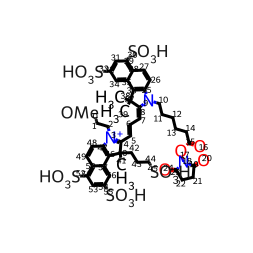 COCC[N+]1=C(/C=C/C=C2/N(CCCCCC(=O)ON3C(=O)CCC3=O)c3ccc4c(S(=O)(=O)O)cc(S(=O)(=O)O)cc4c3C2(C)C)C(C)(CCCS(=O)(=O)O)c2c1ccc1c(S(=O)(=O)O)cc(S(=O)(=O)O)cc21